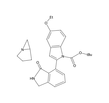 C1CC2CN2C1.CCOc1ccc2c(c1)cc(-c1cccc3c1C(=O)NC3)n2C(=O)OC(C)(C)C